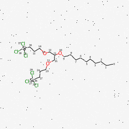 CCCCCCCCCCOC(COCCC[Si](Cl)(Cl)Cl)COCCC[Si](Cl)(Cl)Cl